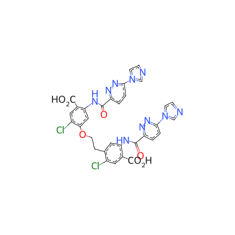 O=C(Nc1cc(CCOc2cc(NC(=O)c3ccc(-n4ccnc4)nn3)c(C(=O)O)cc2Cl)c(Cl)cc1C(=O)O)c1ccc(-n2ccnc2)nn1